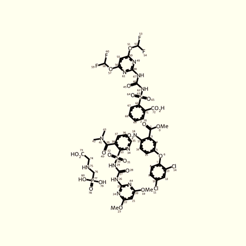 COC(=O)c1cc(Oc2ccc(Cl)cc2Cl)ccc1[N+](=O)[O-].COc1cc(OC)nc(NC(=O)NS(=O)(=O)c2ncccc2C(=O)N(C)C)n1.O=C(Nc1nc(OC(F)F)cc(OC(F)F)n1)NS(=O)(=O)c1ccccc1C(=O)O.O=C(O)CNCP(=O)(O)O